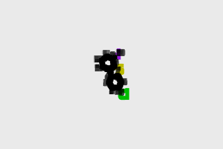 Clc1ccc2c(c1)sc1c(I)cccc12